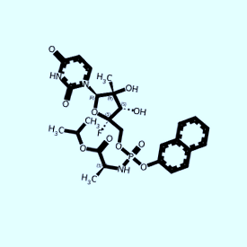 CC(C)OC(=O)[C@H](C)NP(=O)(OC[C@@]1(F)O[C@@H](n2ccc(=O)[nH]c2=O)[C@](C)(O)[C@@H]1O)Oc1ccc2ccccc2c1